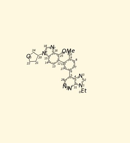 CCn1cnc2c(-c3ccc(F)c(-c4ccc5c(ncn5C5CCOC5)c4OC)c3)cnnc21